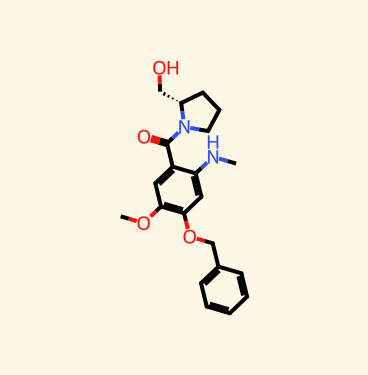 CNc1cc(OCc2ccccc2)c(OC)cc1C(=O)N1CCC[C@H]1CO